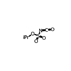 CC(C)OS(=O)(=O)N=C=O